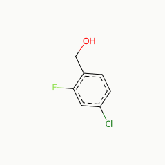 OCc1ccc(Cl)cc1F